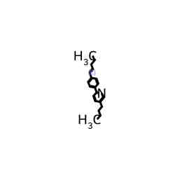 CCC/C=C/c1ccc(-c2ccc(CCCC)cn2)cc1